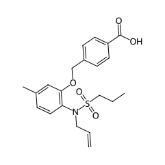 C=CCN(c1ccc(C)cc1OCc1ccc(C(=O)O)cc1)S(=O)(=O)CCC